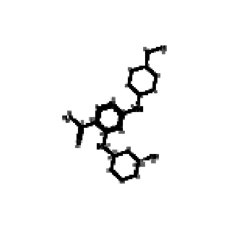 CCO[C@H]1CC[C@H](Nc2ncc(C(N)=O)c(N[C@@H]3CCC[C@@H](O)C3)n2)CC1